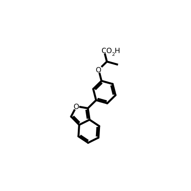 CC(Oc1cccc(-c2occ3ccccc23)c1)C(=O)O